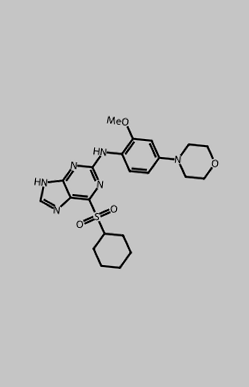 COc1cc(N2CCOCC2)ccc1Nc1nc(S(=O)(=O)C2CCCCC2)c2nc[nH]c2n1